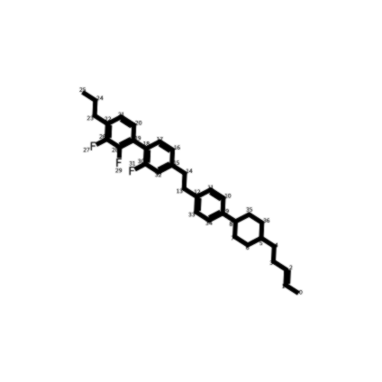 C/C=C/CCC1CCC(c2ccc(CCc3ccc(-c4ccc(CCC)c(F)c4F)c(F)c3)cc2)CC1